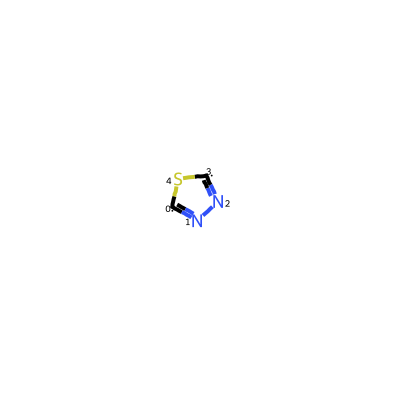 [c]1nn[c]s1